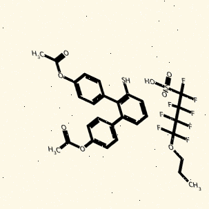 CC(=O)Oc1ccc(-c2cccc(S)c2-c2ccc(OC(C)=O)cc2)cc1.CCCOC(F)(F)C(F)(F)C(F)(F)C(F)(F)S(=O)(=O)O